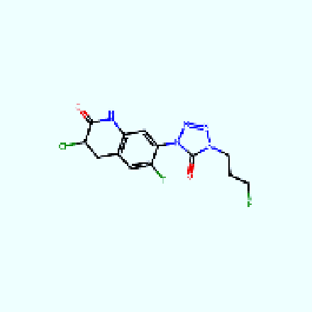 O=C1Nc2cc(-n3nnn(CCCF)c3=O)c(F)cc2CC1Cl